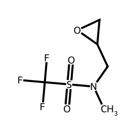 CN(CC1CO1)S(=O)(=O)C(F)(F)F